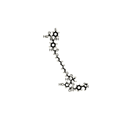 Cc1ncsc1-c1ccc(CNC(=O)[C@@H]2C[C@@H](O)CN2C(=O)[C@@H](NC(=O)COCCCCCCCCCOCC(=O)Nc2ccc(C(=O)Nc3ccc(F)cc3NC(=O)O)cc2)C(C)(C)C)cc1